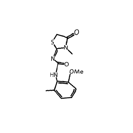 COc1cccc(C)c1NC(=O)N=C1SCC(=O)N1C